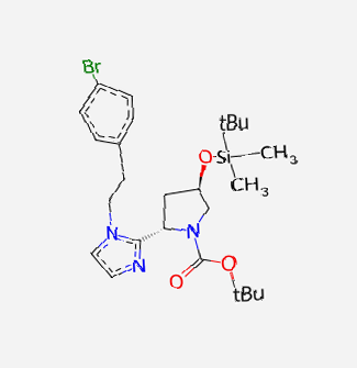 CC(C)(C)OC(=O)N1C[C@H](O[Si](C)(C)C(C)(C)C)C[C@H]1c1nccn1CCc1ccc(Br)cc1